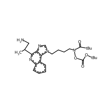 CC(CN)c1nc2ccccc2c2c1ncn2CCCCN(OC(=O)OC(C)(C)C)C(=O)C(C)(C)C